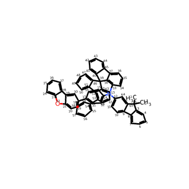 CC1(C)c2ccccc2-c2ccc(N(c3ccc(-c4ccc5oc6ccccc6c5c4)cc3)c3cccc4c3C3(c5ccccc5-4)c4ccccc4-c4c(-c5ccccc5)cccc43)cc21